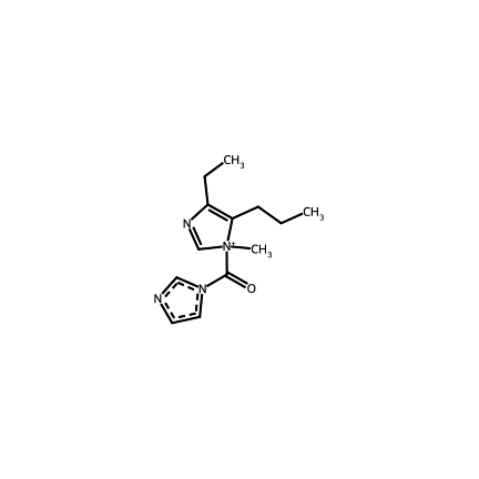 CCCC1=C(CC)N=C[N+]1(C)C(=O)n1ccnc1